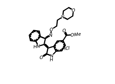 COC(=O)c1ccc2c(c1)/C(=C1/Nc3ccccc3/C1=N\OCCN1CCOCC1)C(=O)N2.Cl